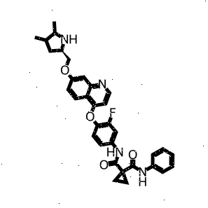 CC1C[C@H](COc2ccc3c(Oc4ccc(NC(=O)C5(C(=O)Nc6ccccc6)CC5)cc4F)ccnc3c2)NC1C